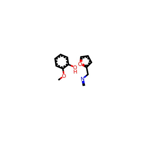 C=NCc1ccco1.COc1ccccc1O